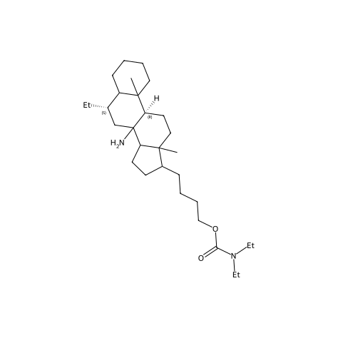 CC[C@H]1CC2(N)C3CCC(CCCCOC(=O)N(CC)CC)C3(C)CC[C@@H]2C2(C)CCCCC12